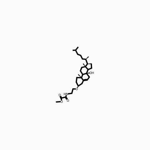 COC(=O)C(=O)NCCO[C@H]1CC[C@@]2(C)C(=CC[C@]3(O)C2CC[C@@]2(C)C3CC[C@@H]2[C@H](C)CCCC(C)C)C1